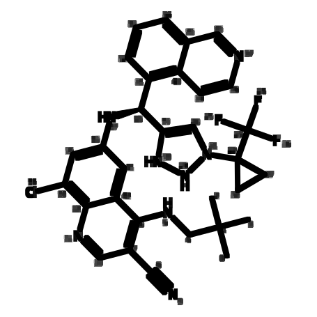 CC(C)(C)CNc1c(C#N)cnc2c(Cl)cc(N[C@H](C3=CN(C4(C(F)(F)F)CC4)NN3)c3cccc4cnccc34)cc12